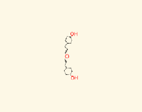 OC1CCC(CC=COC=CCC2CCC(O)CC2)CC1